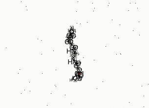 C=C(OS(=O)(=O)c1ccc(C)cc1)C(=O)OCCOC(=O)NCCC(C)CC(C)(C)CNC(=O)OCCOC(=O)C(=C)OS(=O)(=O)c1ccc(C)cc1